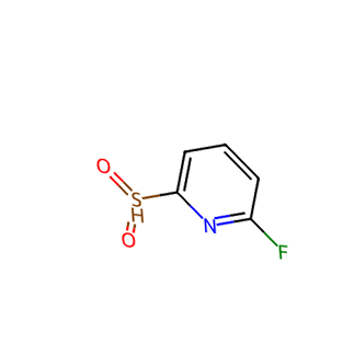 O=[SH](=O)c1cccc(F)n1